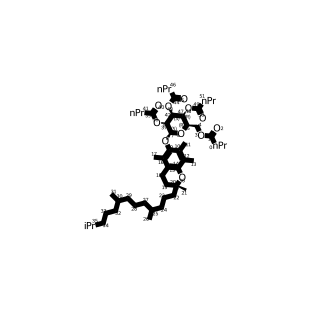 CCCC(=O)OC[C@H]1O[C@@H](Oc2c(C)c(C)c3c(c2C)CC[C@@](C)(CCCC(C)CCCC(C)CCCC(C)C)O3)[C@H](OC(=O)CCC)[C@@H](OC(=O)CCC)[C@@H]1OC(=O)CCC